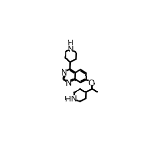 CC(Oc1ccc2c(C3CCNCC3)ncnc2c1)C1CCNCC1